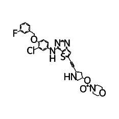 O=C(OC1CNC(C#Cc2cc3ncnc(Nc4ccc(OCc5cccc(F)c5)c(Cl)c4)c3s2)C1)N1CCOCC1